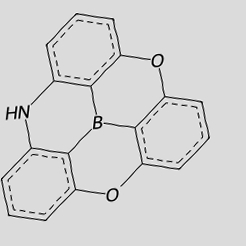 c1cc2c3c(c1)Oc1cccc4c1B3c1c(cccc1O4)N2